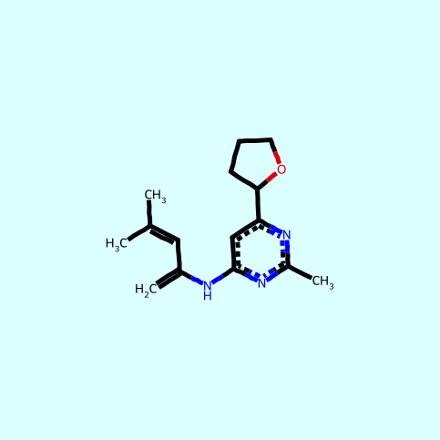 C=C(C=C(C)C)Nc1cc(C2CCCO2)nc(C)n1